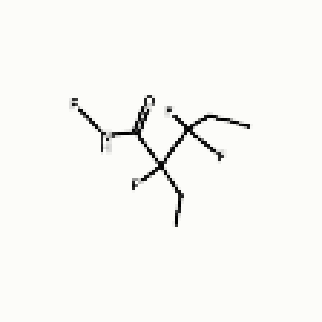 CCC(F)(F)C(F)(CC)C(=O)NF